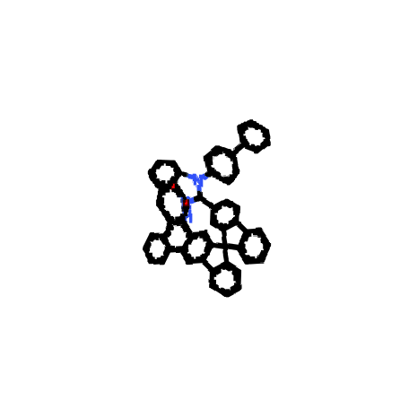 c1ccc(-c2ccc(N3c4ccccc4NC3c3ccc4c(c3)C3(c5ccccc5-4)c4ccccc4-c4cc5c6ccccc6c6ccccc6c5cc43)cc2)cc1